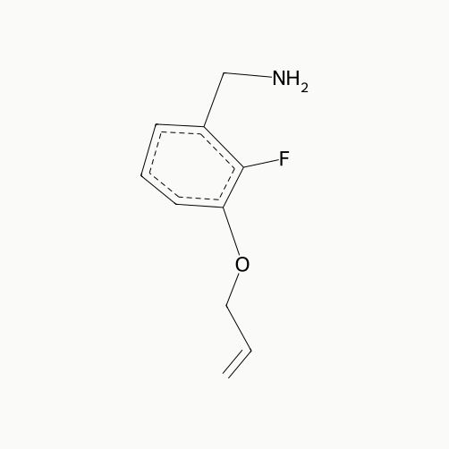 C=CCOc1cccc(CN)c1F